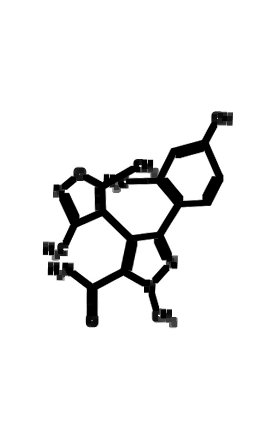 Cc1cc(O)ccc1-c1nn(C)c(C(N)=O)c1-c1c(C)noc1C